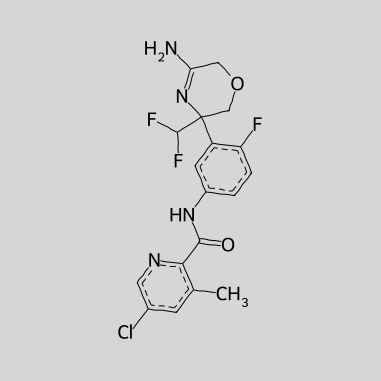 Cc1cc(Cl)cnc1C(=O)Nc1ccc(F)c(C2(C(F)F)COCC(N)=N2)c1